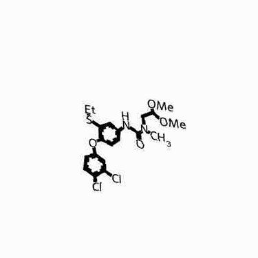 CCSc1cc(NC(=O)N(C)CC(OC)OC)ccc1Oc1ccc(Cl)c(Cl)c1